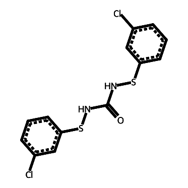 O=C(NSc1cccc(Cl)c1)NSc1cccc(Cl)c1